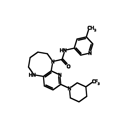 Cc1cncc(NC(=O)N2CCCCNc3ccc(N4CCCC(C(F)(F)F)C4)nc32)c1